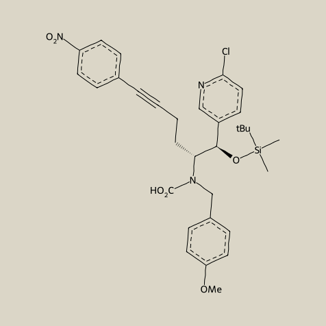 COc1ccc(CN(C(=O)O)[C@H](CCC#Cc2ccc([N+](=O)[O-])cc2)[C@H](O[Si](C)(C)C(C)(C)C)c2ccc(Cl)nc2)cc1